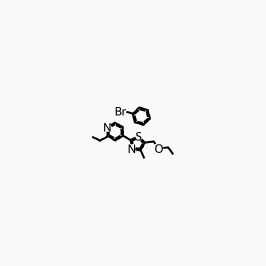 Brc1ccccc1.CCOCc1sc(-c2ccnc(CC)c2)nc1C